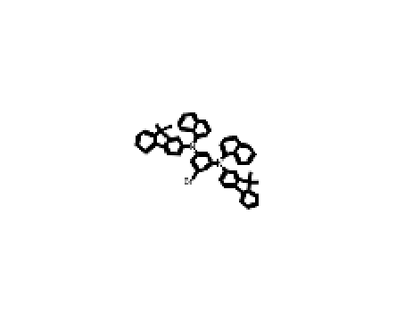 CC1(C)c2ccccc2-c2ccc(N(c3cc(Br)cc(N(c4ccc5c(c4)C(C)(C)c4ccccc4-5)c4cccc5ccccc45)c3)c3cccc4ccccc34)cc21